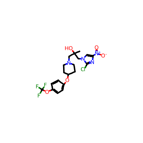 CC(O)(CN1CCC(Oc2ccc(OC(F)(F)F)cc2)CC1)Cn1cc([N+](=O)[O-])nc1Cl